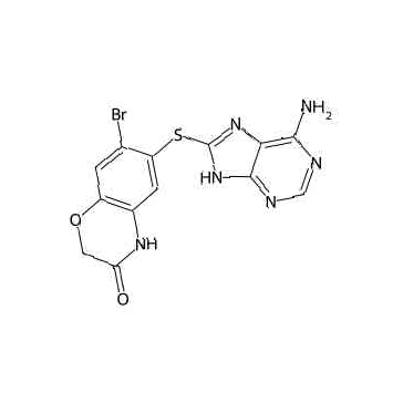 Nc1ncnc2[nH]c(Sc3cc4c(cc3Br)OCC(=O)N4)nc12